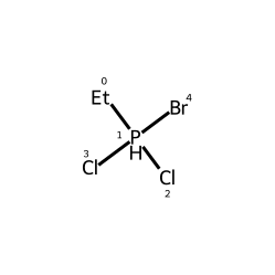 CC[PH](Cl)(Cl)Br